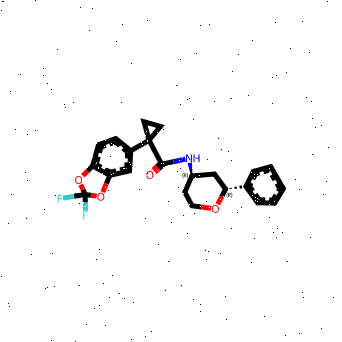 O=C(N[C@@H]1CCO[C@@H](c2ccccc2)C1)C1(c2ccc3c(c2)OC(F)(F)O3)CC1